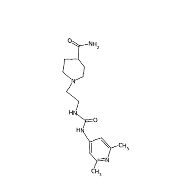 Cc1cc(NC(=O)NCCN2CCC(C(N)=O)CC2)cc(C)n1